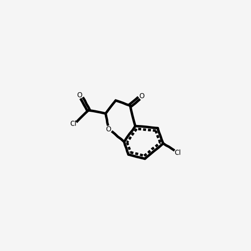 O=C1CC(C(=O)Cl)Oc2ccc(Cl)cc21